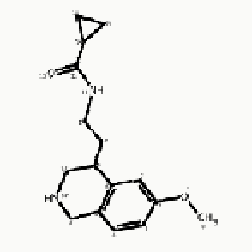 COc1ccc2c(c1)C(CCNC(=O)C1CC1)CNC2